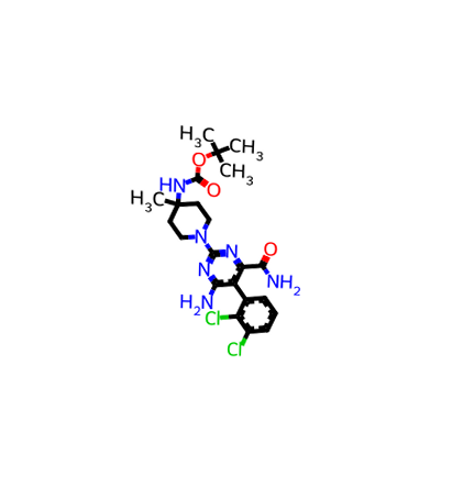 CC1(NC(=O)OC(C)(C)C)CCN(c2nc(N)c(-c3cccc(Cl)c3Cl)c(C(N)=O)n2)CC1